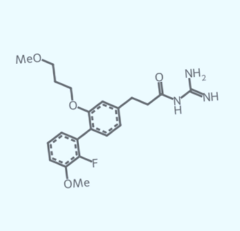 COCCCOc1cc(CCC(=O)NC(=N)N)ccc1-c1cccc(OC)c1F